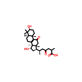 CC(CC(=O)C[C@@H](C)[C@H]1C[C@H](O)[C@@]2(C)C3=C(C(=O)C[C@]12C)[C@@]1(C)CC[C@H](O)C(C)(C)[C@@H]1CC3)C(=O)O